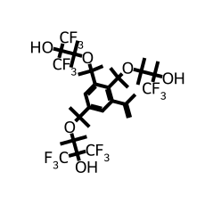 C=C(C)c1cc(C(C)(C)OC(C)(C)C(O)(C(F)(F)F)C(F)(F)F)cc(C(C)(C)OC(C)(C)C(O)(C(F)(F)F)C(F)(F)F)c1C(C)(C)OC(C)(C)C(C)(O)C(F)(F)F